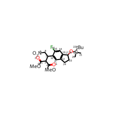 COC(=O)C(C(=O)OC)C(C[N+](=O)[O-])c1cc2c(cc1F)C(O[Si](C)(C)C(C)(C)C)CC2